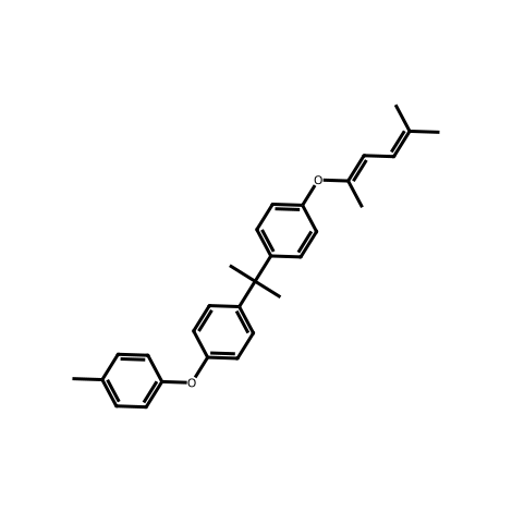 CC(C)=C/C=C(\C)Oc1ccc(C(C)(C)c2ccc(Oc3ccc(C)cc3)cc2)cc1